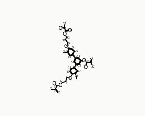 C=C(C)C(=O)OCCCOc1ccc(-c2cc(OC(=O)C(=C)C)cc(-c3ccc(OCCCOC(=O)C(C)=O)c(F)c3)c2)cc1F